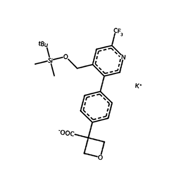 CC(C)(C)[Si](C)(C)OCc1cc(C(F)(F)F)ncc1-c1ccc(C2(C(=O)[O-])COC2)cc1.[K+]